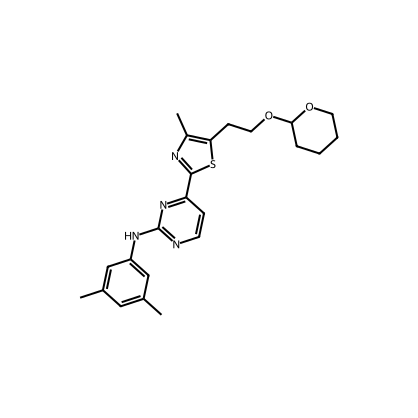 Cc1cc(C)cc(Nc2nccc(-c3nc(C)c(CCOC4CCCCO4)s3)n2)c1